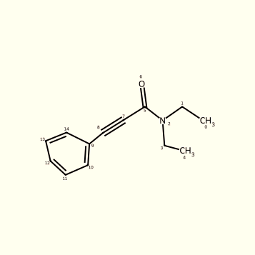 CCN(CC)C(=O)C#Cc1ccccc1